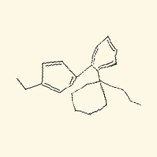 CCCC1(c2ccccc2-c2ccc(CC)cc2)CCCCC1